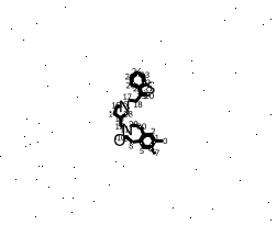 Cc1cc2c(cc1C)CC(=O)N(CC1CCN(CCc3csc4ccccc34)C1)CC2